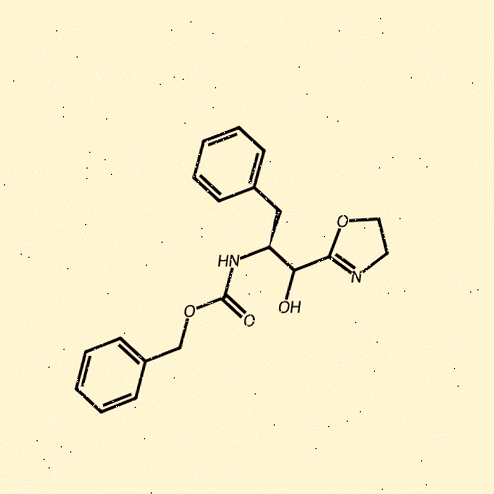 O=C(N[C@@H](Cc1ccccc1)C(O)C1=NCCO1)OCc1ccccc1